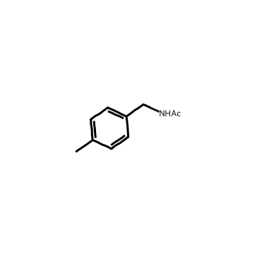 CC(=O)NCc1ccc(C)cc1